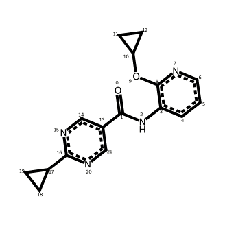 O=C(Nc1cccnc1OC1CC1)c1cnc(C2CC2)nc1